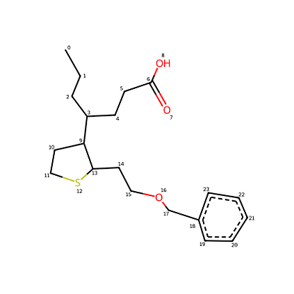 CCCC(CCC(=O)O)C1CCSC1CCOCc1ccccc1